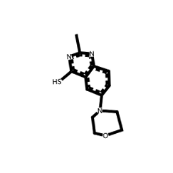 Cc1nc(S)c2cc(N3CCOCC3)ccc2n1